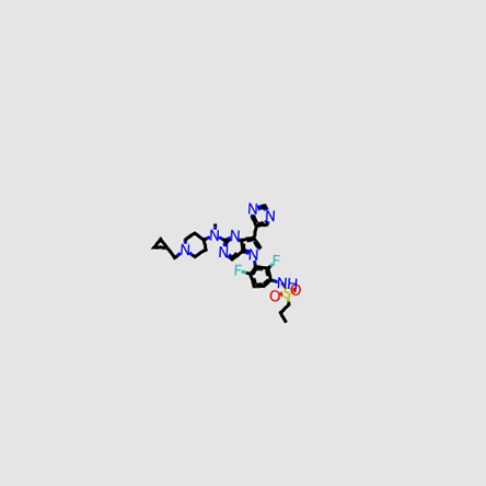 CCCS(=O)(=O)Nc1ccc(F)c(-n2cc(-c3cncnc3)c3nc(N(C)C4CCN(CC5CC5)CC4)ncc32)c1F